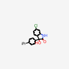 CC(C)c1ccc(C2(O)C(=O)Nc3cc(Cl)ccc32)cc1